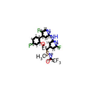 CCOc1cc(F)ccc1-c1cc(Nc2cc(CS(C)=NC(=O)C(F)(F)F)cc(F)n2)ncc1F